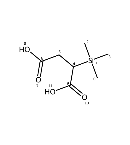 C[Si](C)(C)C(CC(=O)O)C(=O)O